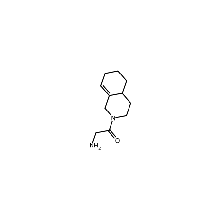 NCC(=O)N1CCC2CCCC=C2C1